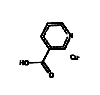 O=C(O)c1cccnc1.[Cu]